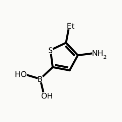 CCc1sc(B(O)O)cc1N